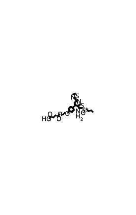 CCCC[S+]([O-])c1sc2nc(-c3nccs3)cc(-c3ccc(OCCOC(=O)CCC(=O)O)cc3)c2c1N